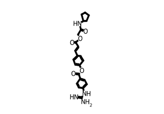 N=C(N)Nc1ccc(C(=O)Oc2ccc(/C=C/C(=O)OCC(=O)NC3CCCC3)cc2)cc1